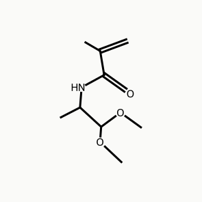 C=C(C)C(=O)NC(C)C(OC)OC